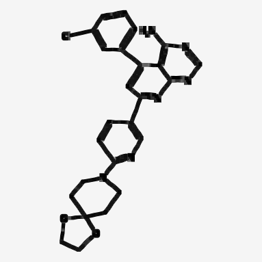 Nc1ncnc2nc(-c3ccc(N4CCC5(CC4)OCCO5)nc3)cc(-c3cccc(Cl)c3)c12